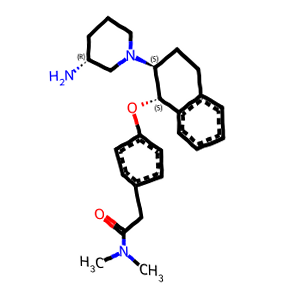 CN(C)C(=O)Cc1ccc(O[C@H]2c3ccccc3CC[C@@H]2N2CCC[C@@H](N)C2)cc1